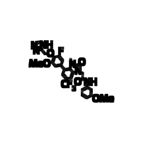 COc1cccc(NC(=O)Cn2c(=O)n(C)c3c(-c4cc(F)c(OCc5nnc[nH]5)c(OC)c4)cc(C(F)(F)F)cc32)c1